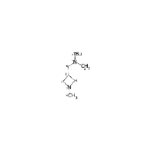 CN1CC(CN(C)C(C)(C)C)C1